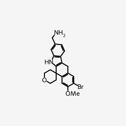 COc1cc2c(cc1Br)Cc1c([nH]c3cc(CN)ccc13)C21CCOCC1